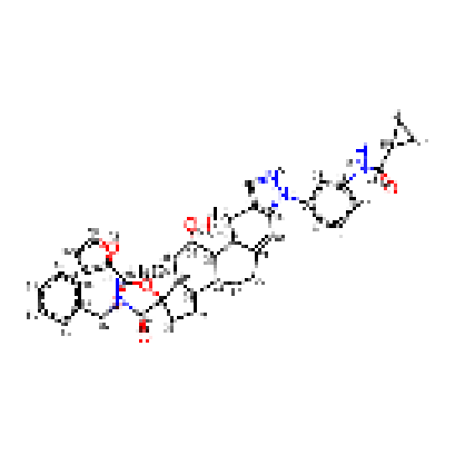 C[C@]12Cc3cnn(-c4cccc(NC(=O)C5CC5)c4)c3C=C1CCC1C2[C@@H](O)C[C@@]2(C)C1CC[C@]2(OC(=O)c1ccco1)C(=O)NCc1ccccc1